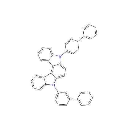 C1=CC(c2ccccc2)CC=C1n1c2ccccc2c2c3c4ccccc4n(-c4cccc(-c5ccccc5)c4)c3ccc21